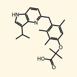 Cc1cc(OC(C)(C)C(=O)O)c(C)c(C)c1Cc1ccc2[nH]cc(C(C)C)c2n1